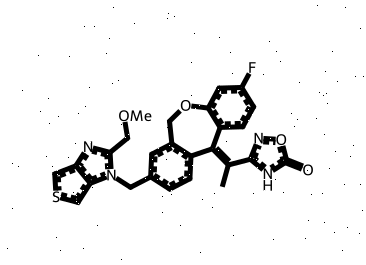 COCc1nc2cscc2n1Cc1ccc2c(c1)COc1cc(F)ccc1C2=C(C)c1noc(=O)[nH]1